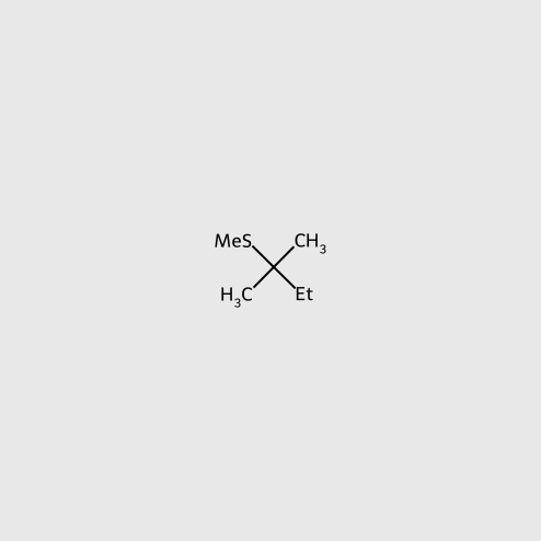 [CH2]CC(C)(C)SC